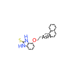 S=c1[nH]c2cccc(OCC[AsH]Cc3cccc4ccccc34)c2[nH]1